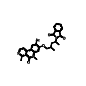 CC(=O)c1cc2c3ccnc(C)c3c(=O)n(C)c2cc1OCC(C)CC(C)N1C(=O)c2ccccc2C1=O